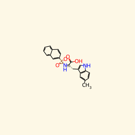 Cc1ccc2[nH]cc(C[C@H](NS(=O)(=O)c3ccc4ccccc4c3)C(=O)O)c2c1